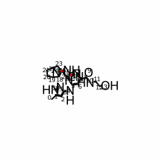 Cc1cc(Nc2cc(C(=O)NCCO)nc(NC3CC4CCC(C3)N4CCC#N)n2)n[nH]1